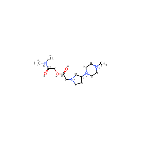 CN1CCN(C2CCN(CC(=O)OCC(=O)N(C)C)C2)CC1